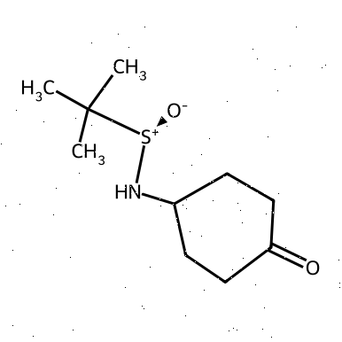 CC(C)(C)[S@@+]([O-])NC1CCC(=O)CC1